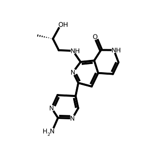 C[C@H](O)CNc1nc(-c2cnc(N)nc2)cc2cc[nH]c(=O)c12